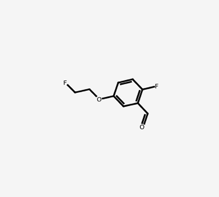 O=Cc1cc(OCCF)ccc1F